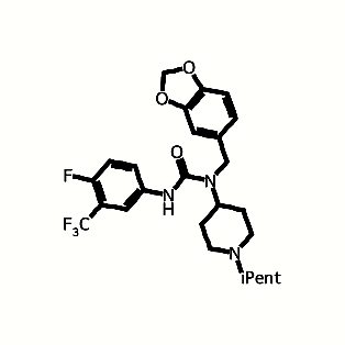 CCCC(C)N1CCC(N(Cc2ccc3c(c2)OCO3)C(=O)Nc2ccc(F)c(C(F)(F)F)c2)CC1